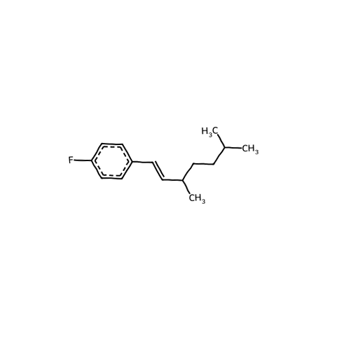 CC(C)CCC(C)/C=C/c1ccc(F)cc1